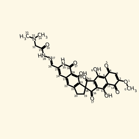 COC1=CC(=O)c2c(O)c3c(c(O)c2C1=O)C(=O)C1(CCc2cc4cc(/C=N/NC(=O)CN(C)C)[nH]c(=O)c4c(O)c21)C3=O